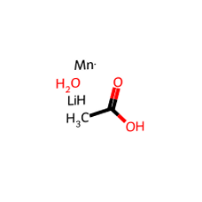 CC(=O)O.O.[LiH].[Mn]